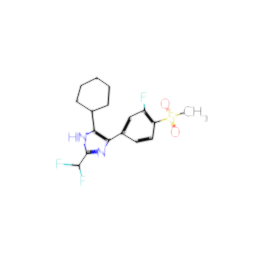 CS(=O)(=O)c1ccc(-c2nc(C(F)F)[nH]c2C2CCCCC2)cc1F